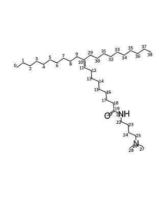 CCCCCCCCCCC(=CCCCCCCCC(=O)NCCCCN(C)C)CCCCCCCCCC